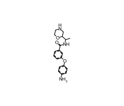 CC(NC(=O)c1cccc(Oc2ccc(N)cc2)c1)C1CNCCO1